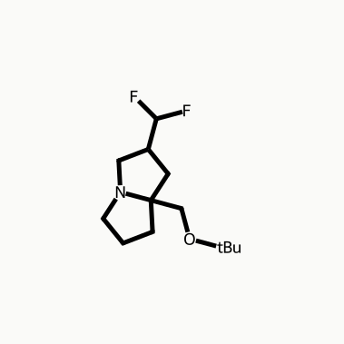 CC(C)(C)OCC12CCCN1CC(C(F)F)C2